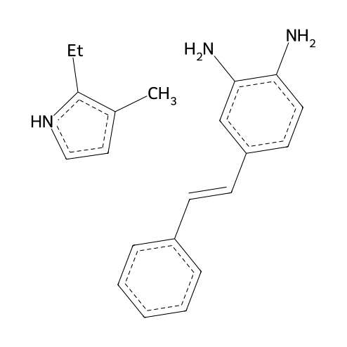 CCc1[nH]ccc1C.Nc1ccc(C=Cc2ccccc2)cc1N